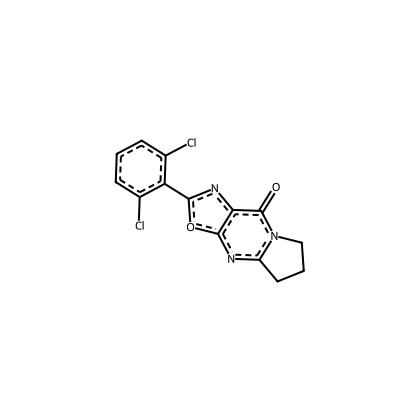 O=c1c2nc(-c3c(Cl)cccc3Cl)oc2nc2n1CCC2